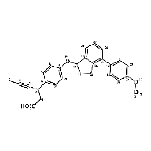 CC#C[C@@H](CC(=O)O)c1ccc(OC2CCc3c(-c4ccc(OC(F)(F)F)cc4)cccc32)cc1